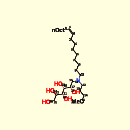 CCCCCCCC/C=C\CCCCCCCCN(CCCOC)C[C@H](O)[C@@H](O)[C@H](O)[C@H](O)CO